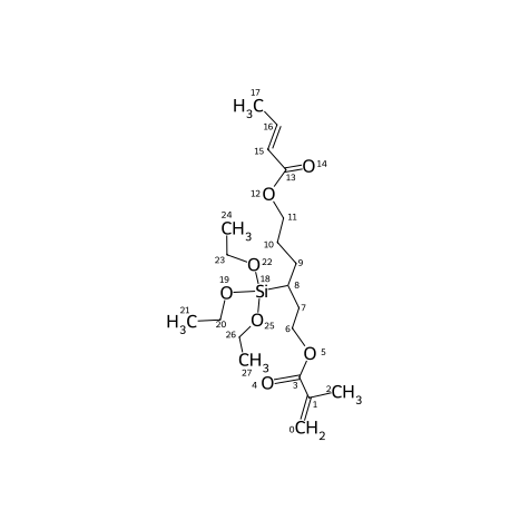 C=C(C)C(=O)OCCC(CCCOC(=O)C=CC)[Si](OCC)(OCC)OCC